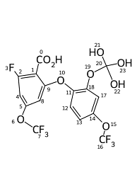 O=C(O)c1c(F)cc(OC(F)(F)F)cc1Oc1ccc(OC(F)(F)F)cc1OC(O)(O)O